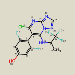 CC(Nc1c(-c2c(F)cc(O)cc2F)c(Cl)nc2ncnn12)C(F)(F)F